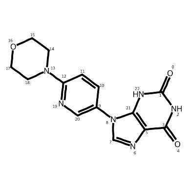 O=c1[nH]c(=O)c2ncn(-c3ccc(N4CCOCC4)nc3)c2[nH]1